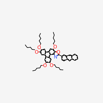 CCCCCOc1cc2c3cc(OCCCCC)c(OCCCCC)cc3c3c(cc(OCCCCC)c4oc(-c5ccc6cc7ccccc7cc6c5)nc43)c2cc1OCCCCC